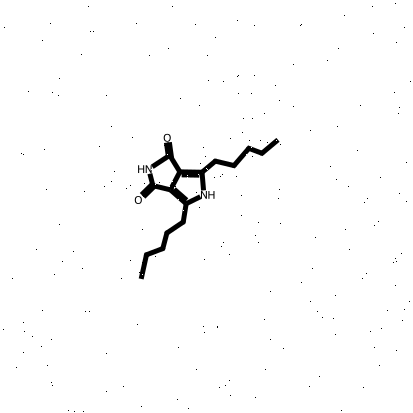 CCCCCc1[nH]c(CCCCC)c2c1C(=O)NC2=O